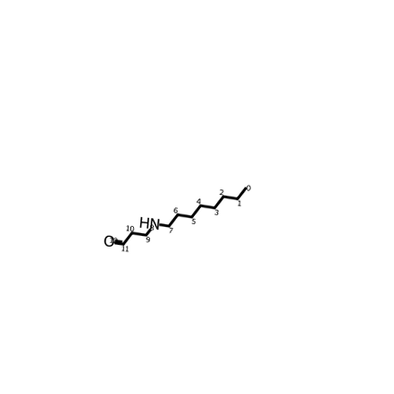 CCCCCCCCNCCC=O